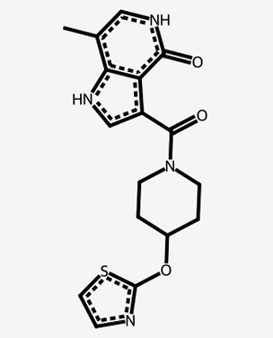 Cc1c[nH]c(=O)c2c(C(=O)N3CCC(Oc4nccs4)CC3)c[nH]c12